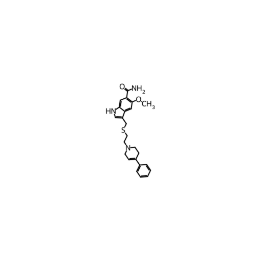 COc1cc2c(CSCCN3CC=C(c4ccccc4)CC3)c[nH]c2cc1C(N)=O